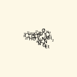 CCOc1nc(N)nc2c1ncn2[C@@H]1O[C@@]2(COC(=O)c3ccccc3)CCC2(OCc2ccccc2)[C@H]1O